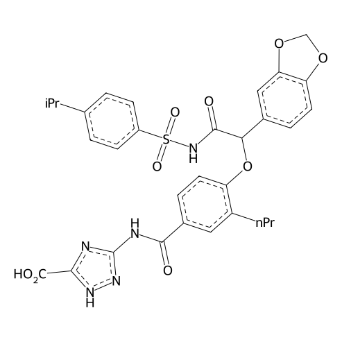 CCCc1cc(C(=O)Nc2n[nH]c(C(=O)O)n2)ccc1OC(C(=O)NS(=O)(=O)c1ccc(C(C)C)cc1)c1ccc2c(c1)OCO2